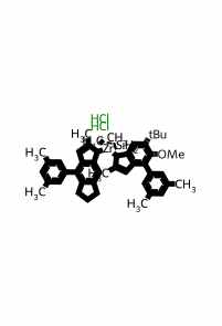 COc1c(C(C)(C)C)cc2c(c1-c1cc(C)cc(C)c1)C=C(C)[CH]2[Zr]([CH3])([CH3])(=[SiH2])[CH]1C(C)=Cc2c1cc1c(c2-c2cc(C)cc(C)c2)CCC1.Cl.Cl